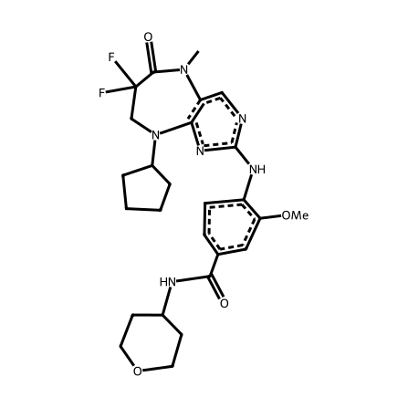 COc1cc(C(=O)NC2CCOCC2)ccc1Nc1ncc2c(n1)N(C1CCCC1)CC(F)(F)C(=O)N2C